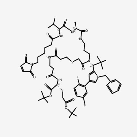 CC(C)[C@H](NC(=O)CCCCCN1C(=O)C=CC1=O)C(=O)N[C@@H](C)C(=O)NCCCN(C(=O)CSCCC(=O)NCCC(=O)N[C@H](CCC(=O)OC(C)(C)C)C(=O)OC(C)(C)C)[C@@H](c1cc(-c2cc(F)ccc2F)cn1Cc1ccccc1)C(C)(C)C